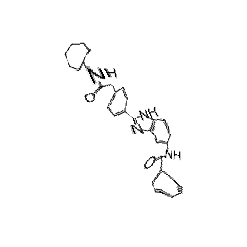 O=C(Nc1ccc2[nH]c(-c3ccc(C(=O)NC4CCCCCC4)cc3)nc2c1)c1ccccc1